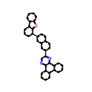 c1ccc2c(c1)sc1c(-c3ccc4ccc(-c5cnc6c7ccccc7c7ccccc7c6n5)cc4c3)cccc12